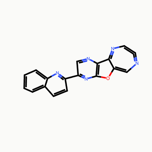 C1=CN=c2c(oc3nc(-c4ccc5ccccc5n4)cnc23)=CN=1